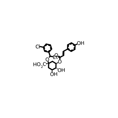 CCC(O[C@@]1(C(=O)O)C[C@H](O)[C@@H](O)[C@H](OC(=O)/C=C/c2ccc(O)cc2)C1)c1cccc(Cl)c1